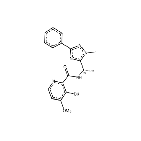 COc1ccnc(C(=O)N[C@@H](C)c2nc(-c3ccccc3)nn2C)c1O